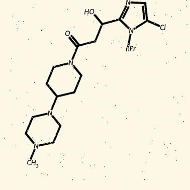 CCCn1c(Cl)cnc1C(O)CC(=O)N1CCC(N2CCN(C)CC2)CC1